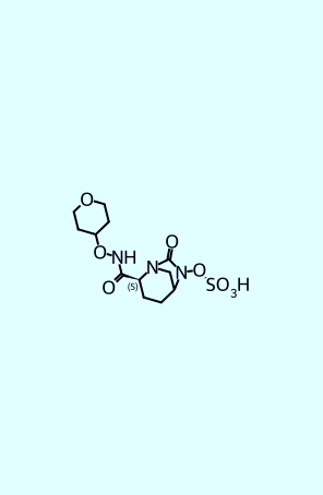 O=C(NOC1CCOCC1)[C@@H]1CCC2CN1C(=O)N2OS(=O)(=O)O